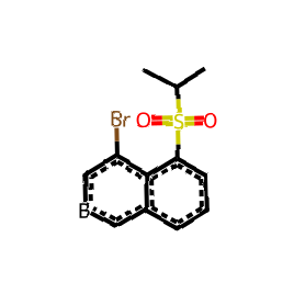 CC(C)S(=O)(=O)c1cccc2cbcc(Br)c12